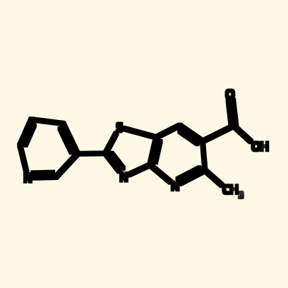 Cc1nc2nc(-c3cccnc3)sc2cc1C(=O)O